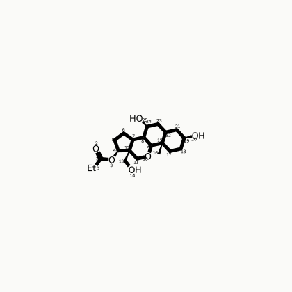 CCC(=O)O[C@H]1CCC2C3C(OC[C@@]21CO)[C@@]1(C)CC[C@H](O)CC1C[C@@H]3O